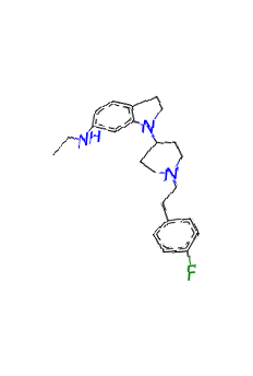 CCNc1ccc2c(c1)N(C1CCN(CCc3ccc(F)cc3)CC1)CC2